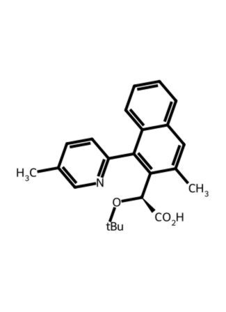 Cc1ccc(-c2c([C@H](OC(C)(C)C)C(=O)O)c(C)cc3ccccc23)nc1